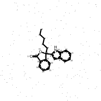 CCCCCC1(c2cc3ccccc3[nH]2)OC(=O)c2ccccc21